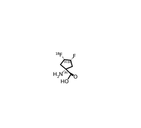 N[C@@]1(C(=O)O)C[C@@H](F)[C@@H]([18F])C1